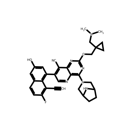 C#Cc1c(F)ccc2cc(O)cc(-c3cnc4c(N5CC6CCC(C5)N6)nc(OCC5(CN(C)C)CC5)nc4c3C#N)c12